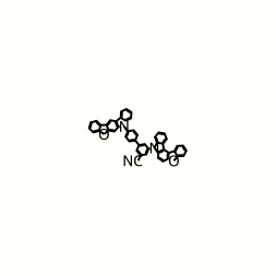 N#Cc1cc(-c2ccc(-n3c4ccccc4c4cc5c(cc43)oc3ccccc35)cc2)cc(-n2c3ccccc3c3c4c(ccc32)oc2ccccc24)c1